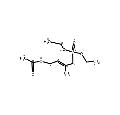 CCOP(=O)(CC(C)=CCOC(C)=O)OCC